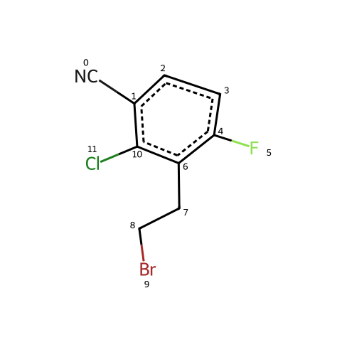 N#Cc1ccc(F)c(CCBr)c1Cl